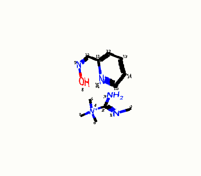 C/N=C(\N)[N+](C)(C)C.O/N=C\c1ccccn1